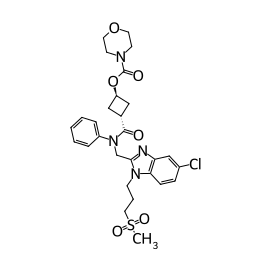 CS(=O)(=O)CCCn1c(CN(c2ccccc2)C(=O)[C@H]2C[C@H](OC(=O)N3CCOCC3)C2)nc2cc(Cl)ccc21